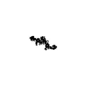 COc1cc(NC(=O)c2sc3ncnc4c3c2NC(=O)N4c2ccc(OCc3ccccn3)c(CI)c2)ccc1OCCN1CCOCC1